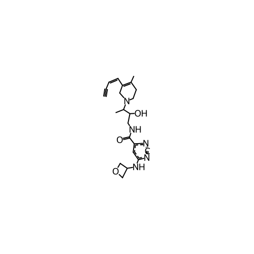 C#C/C=C\C1=C(C)CCN(C(C)C(O)CNC(=O)c2cc(NC3COC3)ncn2)C1